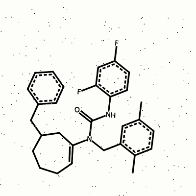 Cc1ccc(C)c(CN(C(=O)Nc2ccc(F)cc2F)C2=CCCCC(Cc3ccccc3)C2)c1